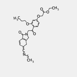 CCCOc1cc(OCC(=O)OCC)ccc1C(=O)CN1CC2=C(C=CC(=C=NSC)C2)C1=O